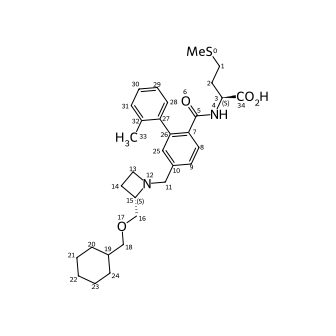 CSCC[C@H](NC(=O)c1ccc(CN2CC[C@H]2COCC2CCCCC2)cc1-c1ccccc1C)C(=O)O